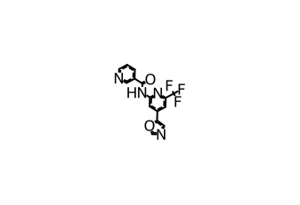 O=C(Nc1cc(-c2cnco2)cc(C(F)(F)F)n1)c1cccnc1